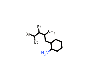 CCC(C)C(CC)C(CC)C(C)CC1CCCCC1N